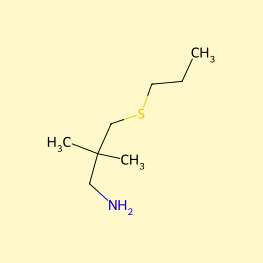 CCCSCC(C)(C)CN